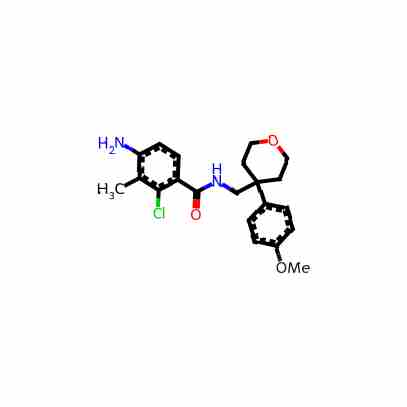 COc1ccc(C2(CNC(=O)c3ccc(N)c(C)c3Cl)CCOCC2)cc1